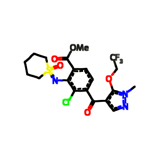 COC(=O)c1ccc(C(=O)c2cnn(C)c2OCC(F)(F)F)c(Cl)c1N=S1(=O)CCCCC1